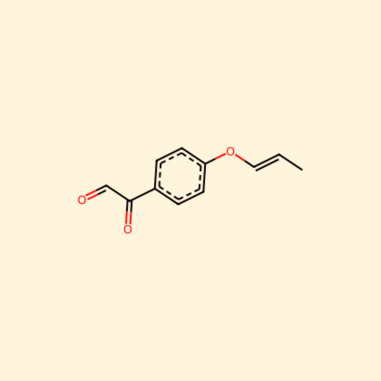 CC=COc1ccc(C(=O)C=O)cc1